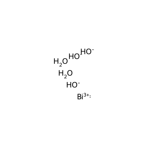 O.O.[Bi+3].[OH-].[OH-].[OH-]